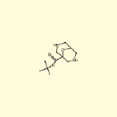 CC(C)(C)OC(=O)C12CNCC(CNC1)O2